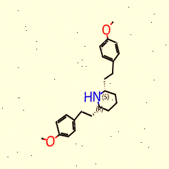 COc1ccc(CC[C@H]2CCC[C@@H](CCc3ccc(OC)cc3)N2)cc1